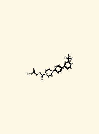 NC(=O)COC(=O)N1CCN(c2ccc(-c3cccc(C(F)(F)F)c3)cn2)CC1